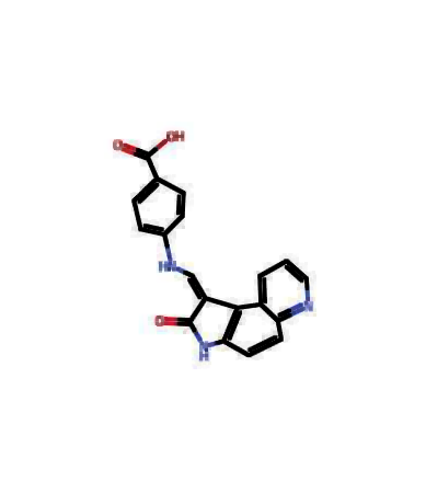 O=C1Nc2ccc3ncccc3c2C1=CNc1ccc(C(=O)O)cc1